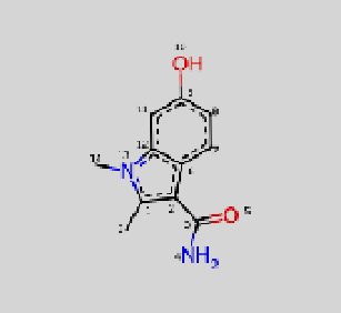 Cc1c(C(N)=O)c2ccc(O)cc2n1C